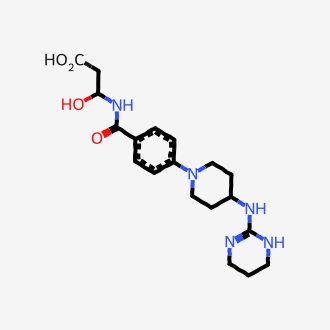 O=C(O)CC(O)NC(=O)c1ccc(N2CCC(NC3=NCCCN3)CC2)cc1